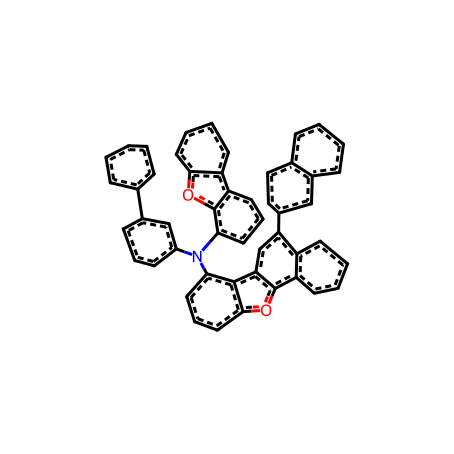 c1ccc(-c2cccc(N(c3cccc4c3oc3ccccc34)c3cccc4oc5c6ccccc6c(-c6ccc7ccccc7c6)cc5c34)c2)cc1